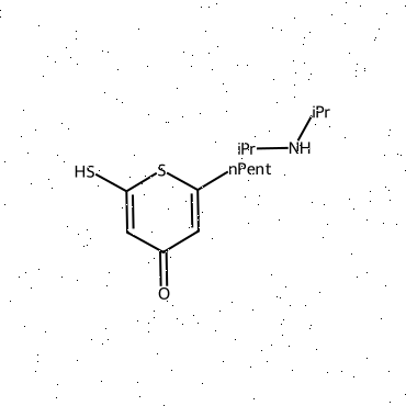 CC(C)NC(C)C.CCCCCc1cc(=O)cc(S)s1